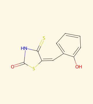 O=C1NC(=S)/C(=C\c2ccccc2O)S1